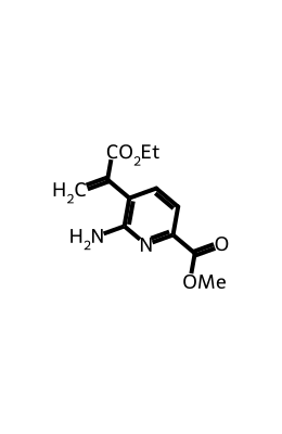 C=C(C(=O)OCC)c1ccc(C(=O)OC)nc1N